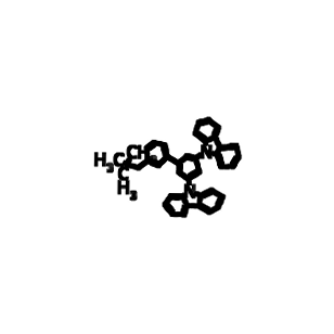 CC(C)(C)Cc1cccc(-c2cc(-n3c4ccccc4c4ccccc43)cc(-n3c4ccccc4c4ccccc43)c2)c1